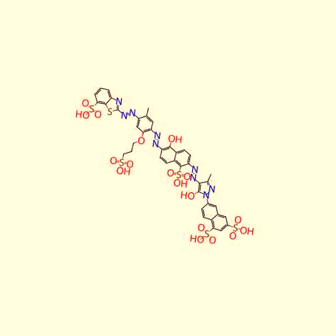 Cc1cc(N=Nc2ccc3c(S(=O)(=O)O)c(N=Nc4c(C)nn(-c5ccc6c(S(=O)(=O)O)cc(S(=O)(=O)O)cc6c5)c4O)ccc3c2O)c(OCCCS(=O)(=O)O)cc1N=Nc1nc2cccc(S(=O)(=O)O)c2s1